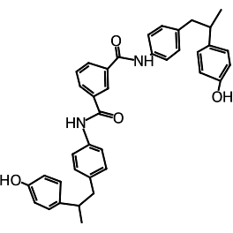 CC(Cc1ccc(NC(=O)c2cccc(C(=O)Nc3ccc(CC(C)c4ccc(O)cc4)cc3)c2)cc1)c1ccc(O)cc1